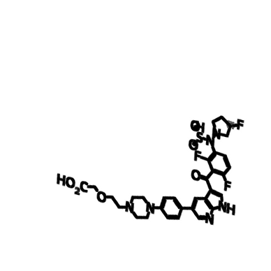 O=C(O)COCCN1CCN(c2ccc(-c3cnc4[nH]cc(C(=O)c5c(F)ccc(N(N6CC[C@@H](F)C6)[SH](=O)=O)c5F)c4c3)cc2)CC1